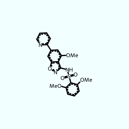 COc1cccc(OC)c1S(=O)(=O)Nc1noc2cc(-c3ccccn3)cc(OC)c12